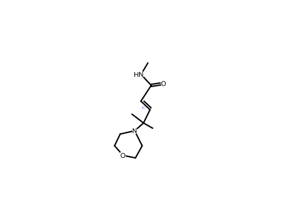 CNC(=O)/C=C/C(C)(C)N1CCOCC1